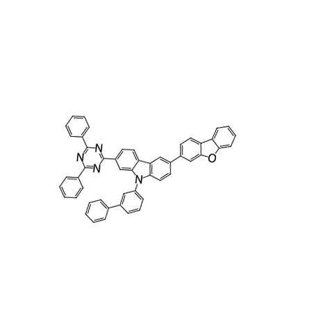 c1ccc(-c2cccc(-n3c4ccc(-c5ccc6c(c5)oc5ccccc56)cc4c4ccc(-c5nc(-c6ccccc6)nc(-c6ccccc6)n5)cc43)c2)cc1